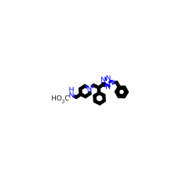 O=C(O)NCC1CCN(CC(c2nnn(Cc3ccccc3)n2)C2CCCCC2)CC1